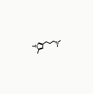 Cc1cc(CCCN(C)C)cn1C